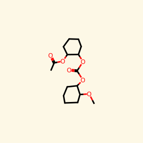 COC1CCCCC1OC(=O)OC1CCCCC1OC(C)=O